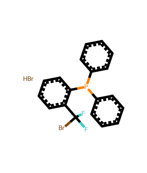 Br.FC(F)(Br)c1ccccc1P(c1ccccc1)c1ccccc1